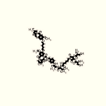 COc1cc2c(cc1OCCCCCOc1cc3c(cc1OC)C(=O)N1C=C(C)C[C@@H]1[C@@H](O)N3C(=O)OCc1ccc(NC(=O)[C@@H](C)NC(=O)[C@H](NC(=O)CCCCCN3C(=O)C(SC(=O)[C@@H](N)CS)=C(SC(=O)[C@@H](N)CS)C3=O)C(C)C)cc1)N=C[C@H]1CC(C)=CN1C2=O